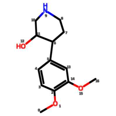 COc1ccc(C2CCNCC2O)cc1OC